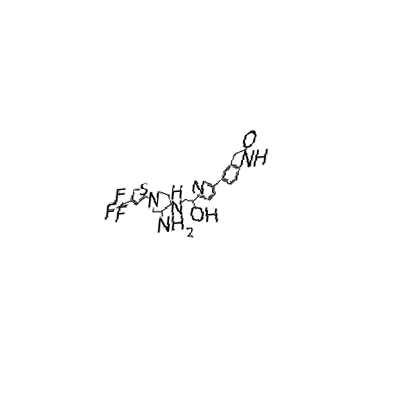 NC1CN(c2cc(C(F)(F)F)cs2)CCC1NCC(O)c1ccc(-c2ccc3c(c2)CC(=O)N3)cn1